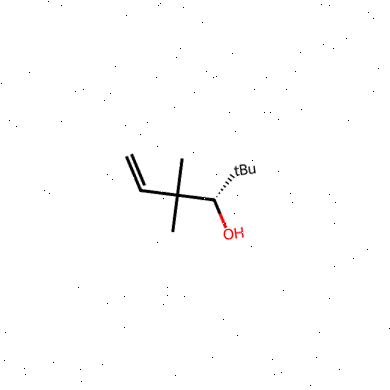 C=CC(C)(C)[C@@H](O)C(C)(C)C